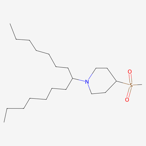 CCCCCCCC(CCCCCCC)N1CCC(S(C)(=O)=O)CC1